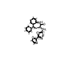 O=C1Nc2ccccc2C(c2ccccc2)=N[C@@H]1Nc1nnc(-c2ncco2)o1